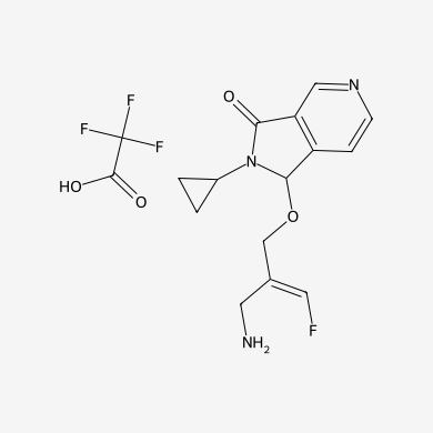 NCC(=CF)COC1c2ccncc2C(=O)N1C1CC1.O=C(O)C(F)(F)F